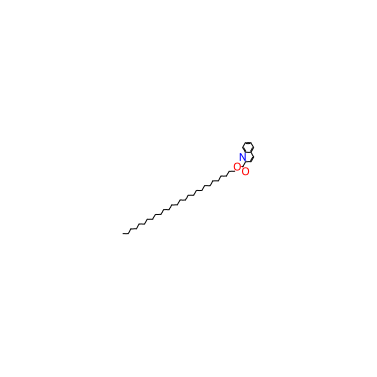 CCCCCCCCCCCCCCCCCCCCCCCCCCCCOC(=O)c1ccc2ccccc2n1